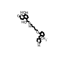 [CH2]C1(Cc2ccccc2OCCCCCNC[C@H](O)c2ccc(O)c3[nH]c(=O)ccc23)CCNCC1